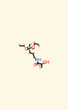 CCO[Si](C)(CCCNC(=O)C(C)O)OCC